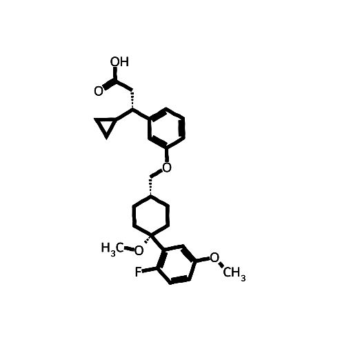 COc1ccc(F)c([C@]2(OC)CC[C@@H](COc3cccc([C@@H](CC(=O)O)C4CC4)c3)CC2)c1